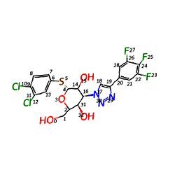 OCC1O[C@H](Sc2ccc(Cl)c(Cl)c2)C(O)[C@@H](n2cc(-c3cc(F)c(F)c(F)c3)nn2)[C@H]1O